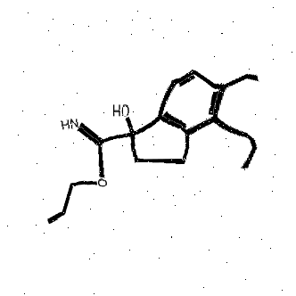 CCCOC(=N)C1(O)CCc2c1ccc(C)c2CC